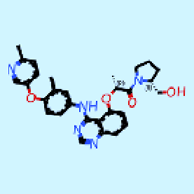 Cc1ccc(Oc2ccc(Nc3ncnc4cccc(O[C@H](C)C(=O)N5CCC[C@@H]5CO)c34)cc2C)cn1